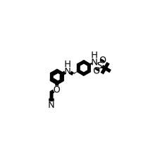 CC(C)(C)S(=O)(=O)N[C@H]1CC[C@H](CNc2cccc(OCC#N)c2)CC1